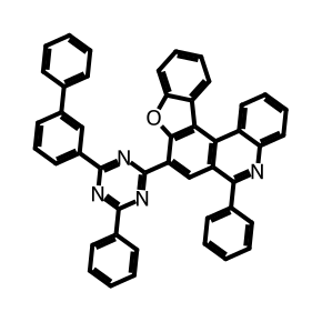 c1ccc(-c2cccc(-c3nc(-c4ccccc4)nc(-c4cc5c(-c6ccccc6)nc6ccccc6c5c5c4oc4ccccc45)n3)c2)cc1